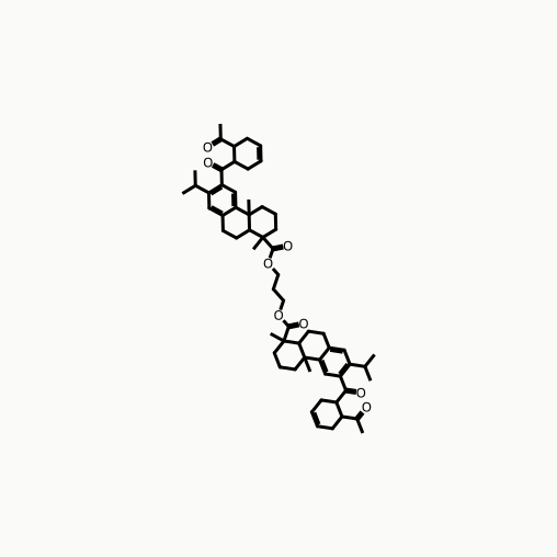 CC(=O)C1CC=CCC1C(=O)c1cc2c(cc1C(C)C)CCC1C(C)(C(=O)OCCCOC(=O)C3(C)CCCC4(C)c5cc(C(=O)C6CC=CCC6C(C)=O)c(C(C)C)cc5CCC34)CCCC21C